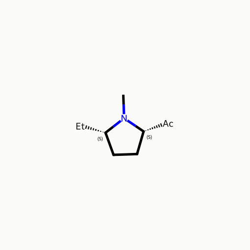 CC[C@H]1CC[C@@H](C(C)=O)N1C